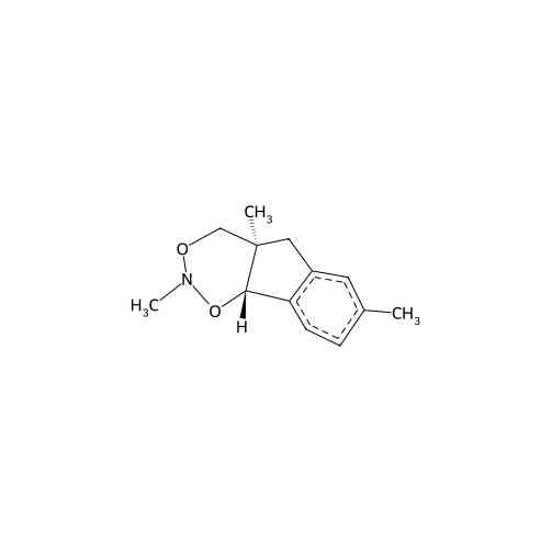 Cc1ccc2c(c1)C[C@]1(C)CON(C)O[C@@H]21